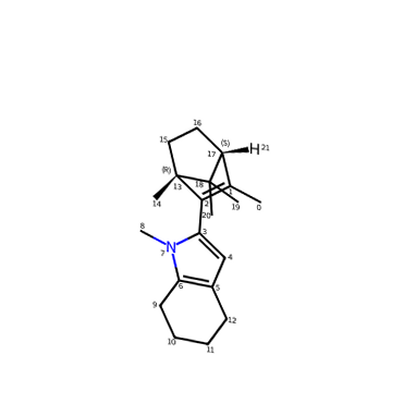 CC1=C(c2cc3c(n2C)CCCC3)[C@]2(C)CC[C@H]1C2(C)C